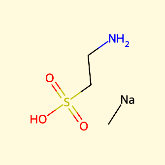 NCCS(=O)(=O)O.[CH3][Na]